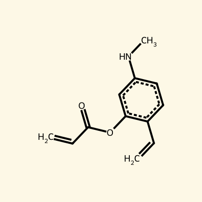 C=CC(=O)Oc1cc(NC)ccc1C=C